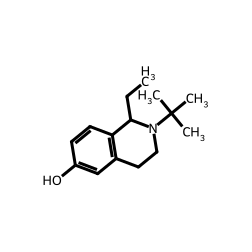 CCC1c2ccc(O)cc2CCN1C(C)(C)C